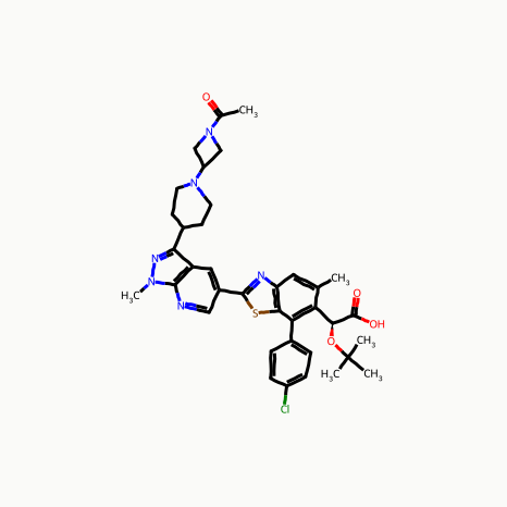 CC(=O)N1CC(N2CCC(c3nn(C)c4ncc(-c5nc6cc(C)c([C@H](OC(C)(C)C)C(=O)O)c(-c7ccc(Cl)cc7)c6s5)cc34)CC2)C1